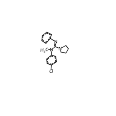 CN(C(=Nc1ccccc1)N1CCCC1)c1ccc(Cl)cc1